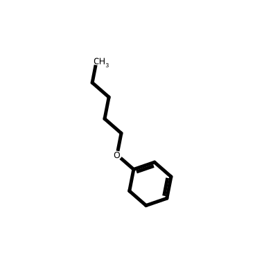 CCCCCOC1=CC=CCC1